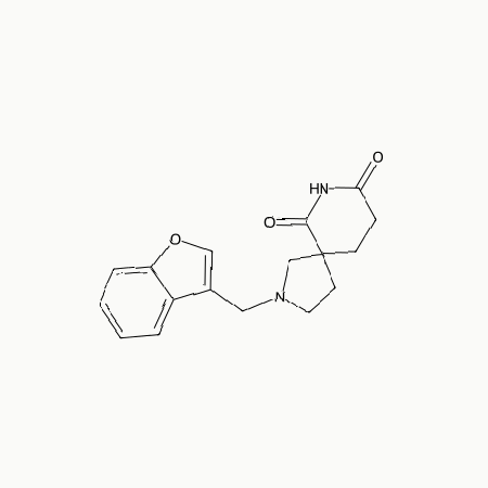 O=C1CCC2(CCN(Cc3coc4ccccc34)C2)C(=O)N1